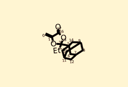 C=C1OC(CC)(C23CC4CC(CC(C4)C2)C3)OC1=O